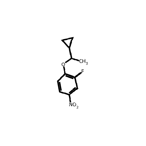 CC(Oc1ccc([N+](=O)[O-])cc1F)C1CC1